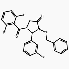 O=C(c1c(F)cccc1F)N1CC(=O)N(OCc2ccccc2)C1c1cccc(Br)c1